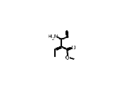 C=CC(N)C(=CC)C(=O)OC